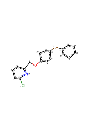 Clc1cccc(COc2ccc(Sc3ccccc3)cc2)n1